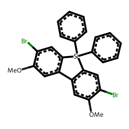 COc1cc2c(cc1Br)[Si](c1ccccc1)(c1ccccc1)c1cc(Br)c(OC)cc1-2